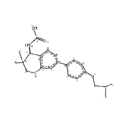 CC(C)COc1ccc(-c2ccc3c(c2)OCC(C)(C)C3NC(=O)O)cc1